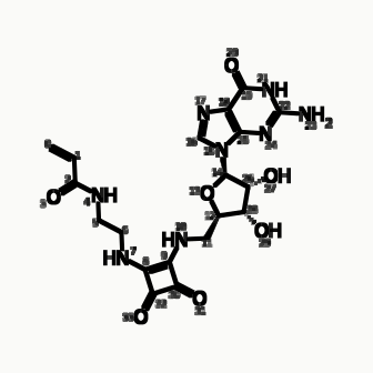 C=CC(=O)NCCNc1c(NC[C@H]2O[C@@H](n3cnc4c(=O)[nH]c(N)nc43)[C@H](O)[C@@H]2O)c(=O)c1=O